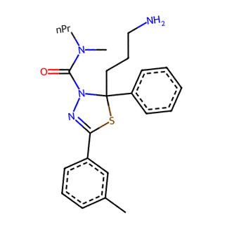 CCCN(C)C(=O)N1N=C(c2cccc(C)c2)SC1(CCCN)c1ccccc1